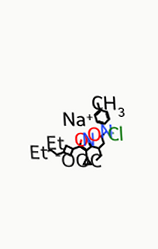 CCC(CC)CC1CC(c2onc(C(CC(=O)[O-])CC(=O)N(Cl)c3ccc(C)cc3)c2C2CC2)C1.[Na+]